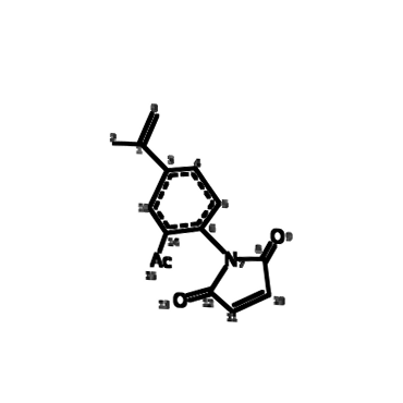 C=C(C)c1ccc(N2C(=O)C=CC2=O)c(C(C)=O)c1